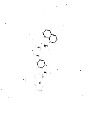 C[C@@H](N[C@H]1CCC[C@H](c2ccc(C(=O)NCC3(C(=O)O)CCCC3)cc2)C1)c1cccc2ccccc12